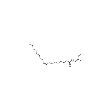 C=CC(C)=COC(=O)CCCCCCC/C=C\CCCCCCCC